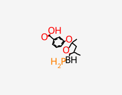 CC(CC(C)(C)Oc1cccc(C(=O)O)c1)C(=O)BP